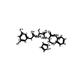 C[C@H](NC(=O)Cc1cc(F)cc(F)c1)C(=O)N[C@@H]1C(=O)Nc2ccccc2S[C@@H]1c1cccs1